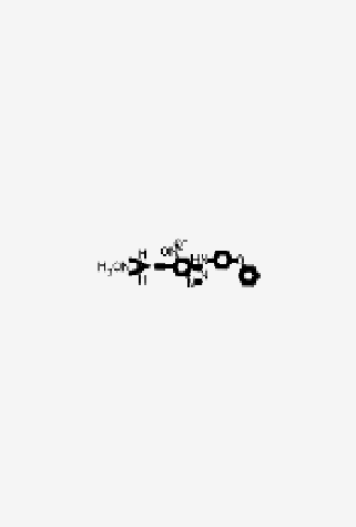 CN1C[C@@H]2[C@@H](C#Cc3cc4ncnc(Nc5ccc(Oc6ccccc6)cc5)c4cc3[N+](=O)[O-])[C@@H]2C1